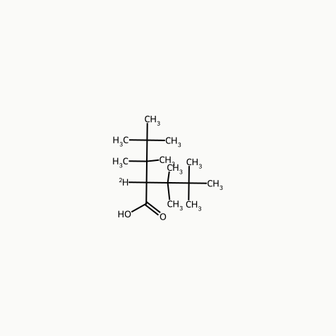 [2H]C(C(=O)O)(C(C)(C)C(C)(C)C)C(C)(C)C(C)(C)C